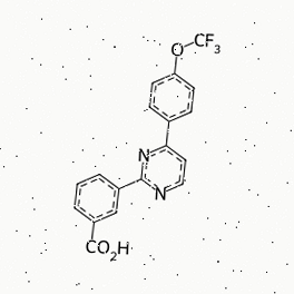 O=C(O)c1cccc(-c2nccc(-c3ccc(OC(F)(F)F)cc3)n2)c1